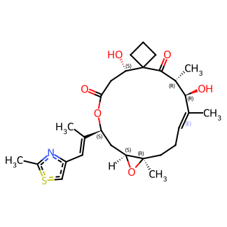 CC(=Cc1csc(C)n1)[C@@H]1C[C@@H]2O[C@]2(C)CC/C=C(\C)[C@H](O)[C@@H](C)C(=O)C2(CCC2)[C@@H](O)CC(=O)O1